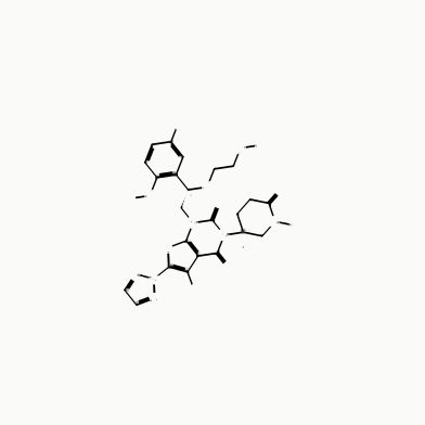 COCCO[C@@H](Cn1c(=O)n([C@@]2(C)CCC(=O)N(C)C2)c(=O)c2c(C)c(-n3nccn3)sc21)c1cc(F)ccc1OC